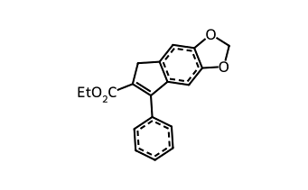 CCOC(=O)C1=C(c2ccccc2)c2cc3c(cc2C1)OCO3